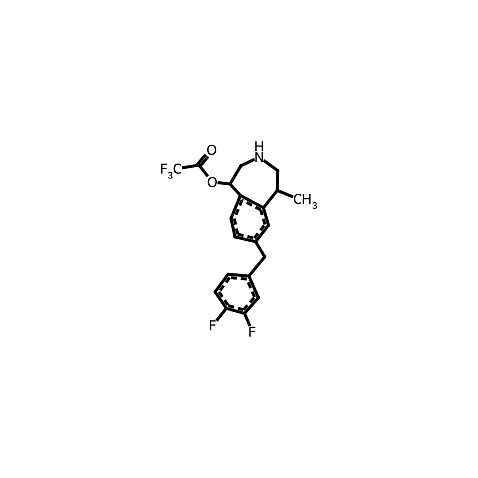 CC1CNCC(OC(=O)C(F)(F)F)c2ccc(Cc3ccc(F)c(F)c3)cc21